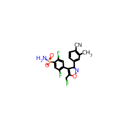 Cc1cc(-c2noc(CF)c2-c2cc(F)c(S(N)(=O)=O)cc2F)ccc1C#N